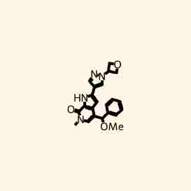 COC(c1ccccc1)c1cn(C)c(=O)c2[nH]c(-c3cnn(C4COC4)c3)cc12